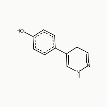 Oc1ccc(C2=CNN=CC2)cc1